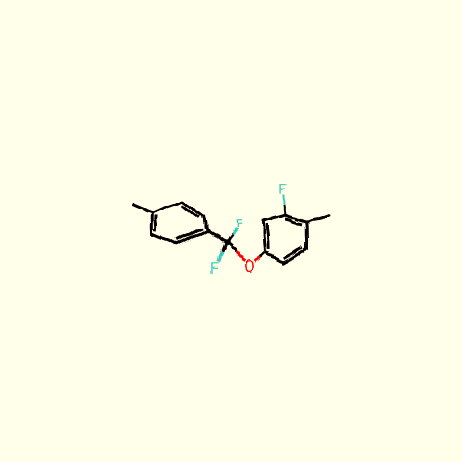 Cc1ccc(C(F)(F)Oc2ccc(C)c(F)c2)cc1